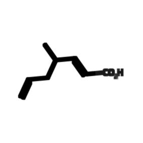 C=CCC(C)/C=C/C(=O)O